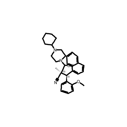 COc1ccccc1[C@H](c1cccc2ccccc12)[C@@](C)(C#N)C(O)N1CCN(C2CCCCC2)CC1